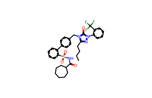 CCCCc1nn(-c2ccccc2C(F)(F)F)c(=O)n1Cc1ccc(-c2ccccc2S(=O)(=O)NC(=O)C2CCCCCC2)cc1